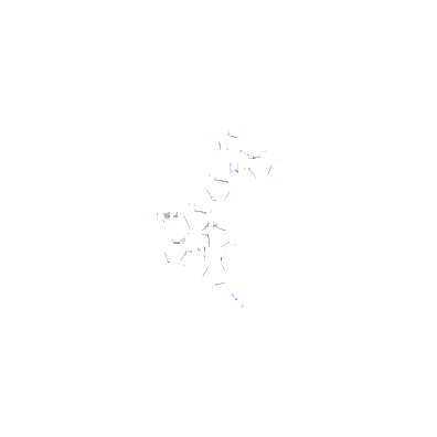 N#Cc1ccc2c(c1)c1ccccc1n2-c1ccccc1-c1ccc(-c2ccc(N3c4ccccc4C4C=CC=CC43)cc2)cc1C#N